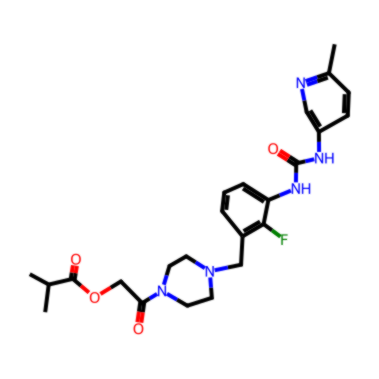 Cc1ccc(NC(=O)Nc2cccc(CN3CCN(C(=O)COC(=O)C(C)C)CC3)c2F)cn1